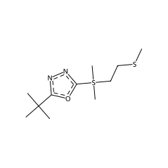 CSCCS(C)(C)c1nnc(C(C)(C)C)o1